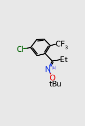 CC/C(=N\OC(C)(C)C)c1cc(Cl)ccc1C(F)(F)F